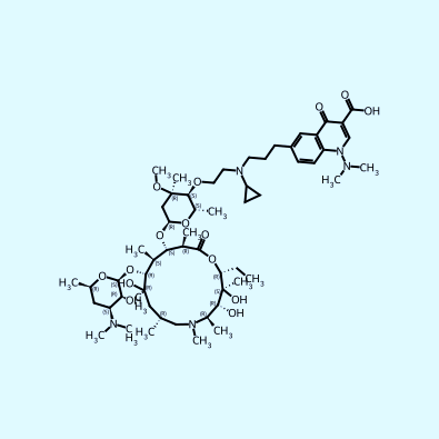 CC[C@H]1OC(=O)[C@H](C)[C@@H](O[C@H]2C[C@@](C)(OC)[C@@H](OCCN(CCCc3ccc4c(c3)c(=O)c(C(=O)O)cn4N(C)C)C3CC3)[C@H](C)O2)[C@H](C)[C@@H](O[C@@H]2O[C@H](C)C[C@H](N(C)C)[C@H]2O)[C@](C)(O)C[C@@H](C)CN(C)[C@H](C)[C@@H](O)[C@]1(C)O